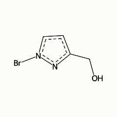 OCc1ccn(Br)n1